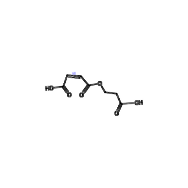 O=C(O)/C=C\C(=O)OCCC(=O)O